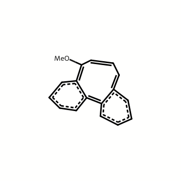 COC1=c2\cccc\c2=c2/cccc/c2=C/C=C\1